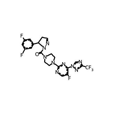 O=C(N1CCN(c2ncc(F)c(-n3cnc(C(F)(F)F)n3)n2)CC1)N1N=CCC1c1cc(F)cc(F)c1